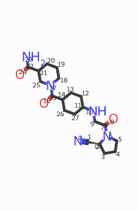 N#C[C@@H]1CCCN1C(=O)CNC1CCC(C(=O)N2CCCC(C(N)=O)C2)CC1